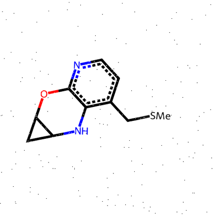 CSCc1ccnc2c1NC1CC1O2